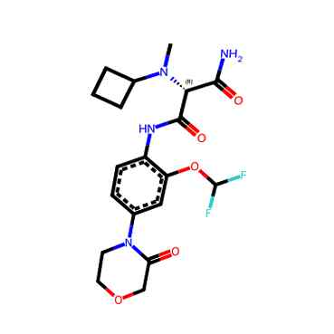 CN(C1CCC1)[C@H](C(N)=O)C(=O)Nc1ccc(N2CCOCC2=O)cc1OC(F)F